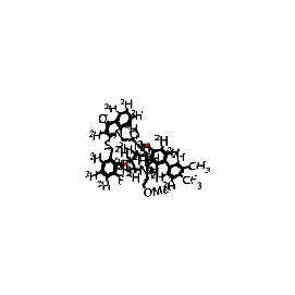 [2H]c1c([2H])c(F)c(F)c(CSc2c([2H])c(=O)c3c([2H])c([2H])c([2H])c([2H])c3n2CC(=O)N(Cc2c([2H])c([2H])c(-c3c([2H])c([2H])c(C(F)(F)F)c(C)c3[2H])c([2H])c2[2H])C2([2H])C([2H])([2H])C([2H])([2H])N(CCOC)C([2H])([2H])C2([2H])[2H])c1[2H]